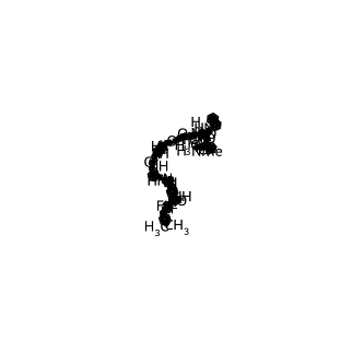 CN[C@@H](C)C(=O)N[C@H](C(=O)N1C[C@@H](NC(=O)CCC(=O)NCCOCCN2C[C@@H]3CN(CCC(=O)NCc4cccc(CNc5cc(N6CCC7(CC6)CN(c6cc(F)c(CN8CCC(C)(C)CC8)cc6F)CC(=O)N7)ncn5)c4)C[C@@H]3C2)C[C@H]1C(=O)N[C@H]1CCCc2ccccc21)C1CCCCC1